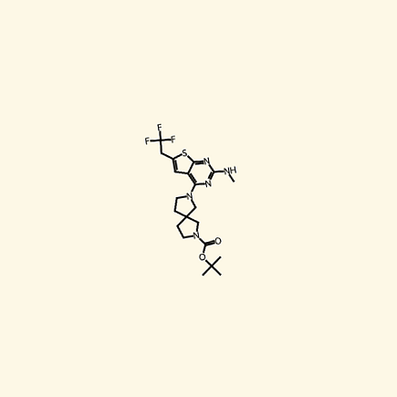 CNc1nc(N2CCC3(CCN(C(=O)OC(C)(C)C)C3)C2)c2cc(CC(F)(F)F)sc2n1